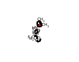 CC12CC3CC(C)(CC(C1)C3NC(=O)C(F)(F)S(=O)(=O)OC(CC1(C)OCCCO1)C(F)(F)F)C2